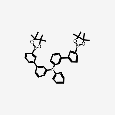 CC1(C)OB(c2cccc(-c3cccc(N(c4ccccc4)c4cccc(-c5cccc(B6OC(C)(C)C(C)(C)O6)c5)c4)c3)c2)OC1(C)C